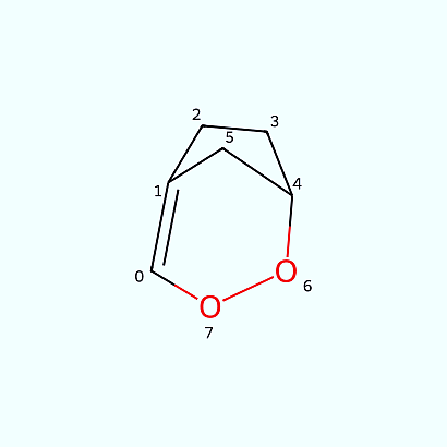 C1=C2CCC(C2)OO1